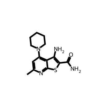 Cc1cc(N2CCCCC2)c2c(N)c(C(N)=O)sc2n1